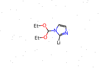 [Li][c]1nccn1C(OCC)OCC